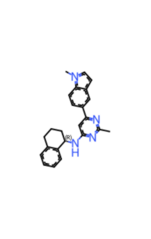 Cc1nc(N[C@@H]2CCCc3ccccc32)cc(-c2ccc3c(ccn3C)c2)n1